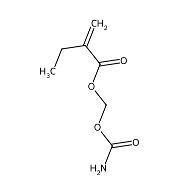 C=C(CC)C(=O)OCOC(N)=O